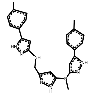 Cc1ccc(-c2cc(NCc3cc(N(C)c4cc(-c5ccc(C)cc5)[nH]n4)[nH]n3)n[nH]2)cc1